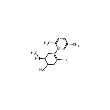 CNC1CC([n+]2cc(C)ccc2C)=C(C)CC1C